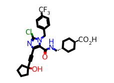 O=C(NC[C@H]1CC[C@H](C(=O)O)CC1)c1c(C#CC2(O)CCCC2)nc(Cl)n1Cc1ccc(C(F)(F)F)cc1